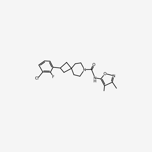 Cc1noc(NC(=O)N2CCC3(CC2)CC(c2cccc(Cl)c2F)C3)c1C